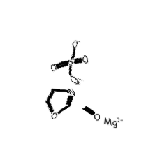 C1=NCCO1.C=O.O=S(=O)([O-])[O-].[Mg+2]